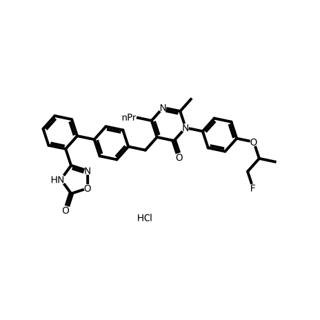 CCCc1nc(C)n(-c2ccc(OC(C)CF)cc2)c(=O)c1Cc1ccc(-c2ccccc2-c2noc(=O)[nH]2)cc1.Cl